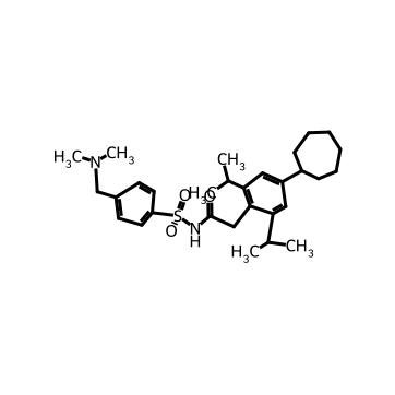 CC(C)c1cc(C2CCCCCC2)cc(C(C)C)c1CC(=O)NS(=O)(=O)c1ccc(CN(C)C)cc1